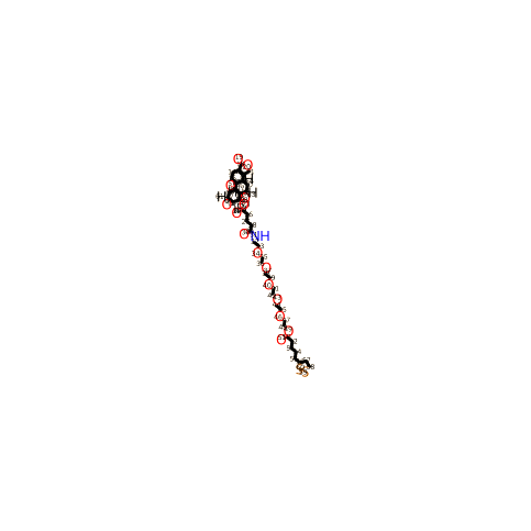 CC(C)[C@]12O[C@H]1[C@@H]1O[C@]13[C@]1(O[C@H]1C[C@H]1C4=C(CC[C@@]13C)C(=O)OC4)[C@@H]2OC(=O)CCCC(=O)NCCOCCOCCOCCOCCOCCOC(=O)CCCCC1CCSS1